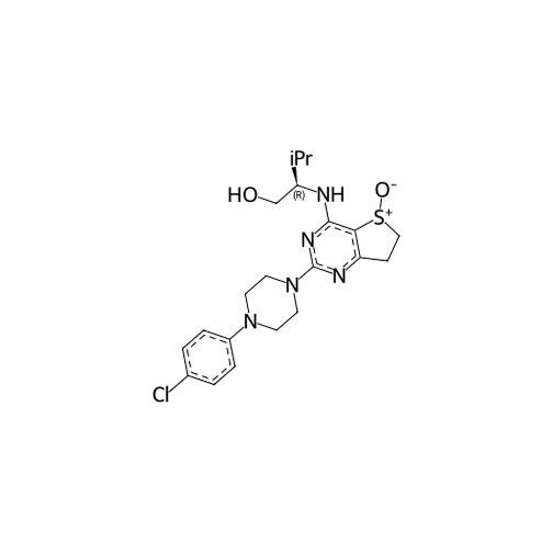 CC(C)[C@H](CO)Nc1nc(N2CCN(c3ccc(Cl)cc3)CC2)nc2c1[S+]([O-])CC2